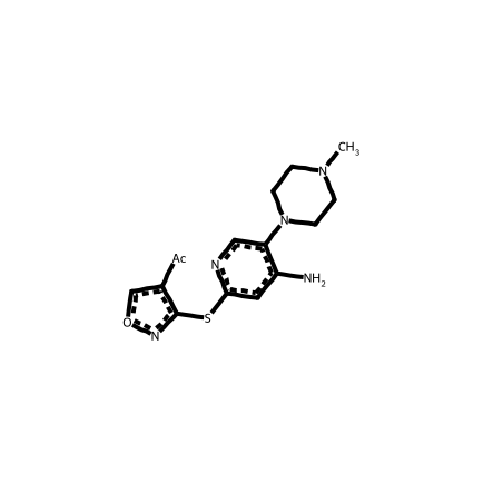 CC(=O)c1conc1Sc1cc(N)c(N2CCN(C)CC2)cn1